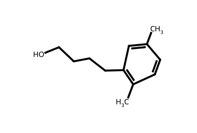 Cc1ccc(C)c(CCCCO)c1